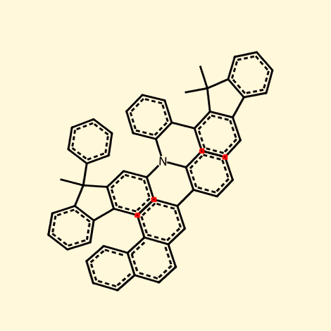 CC1(C)c2ccccc2-c2cccc(-c3ccccc3N(c3ccc4c(c3)C(C)(c3ccccc3)c3ccccc3-4)c3ccccc3-c3ccc4c(ccc5ccccc54)c3)c21